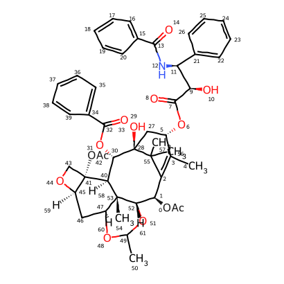 CC(=O)O[C@@H]1C2=C(C)[C@@H](OC(=O)[C@H](O)[C@@H](NC(=O)c3ccccc3)c3ccccc3)C[C@@](O)([C@@H](OC(=O)c3ccccc3)[C@@H]3[C@]4(OC(C)=O)CO[C@@H]4C[C@@H]4OC(C)O[C@@H]1[C@]43C)C2(C)C